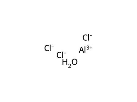 O.[Al+3].[Cl-].[Cl-].[Cl-]